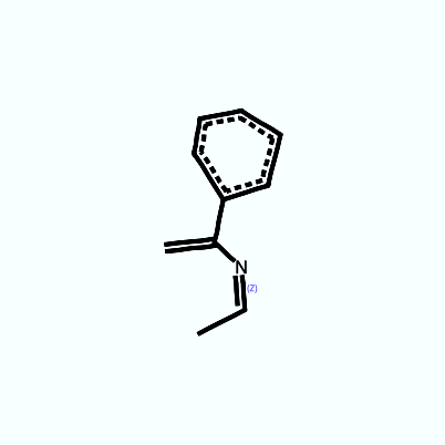 C=C(/N=C\C)c1ccccc1